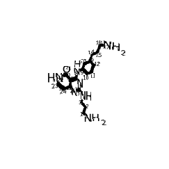 NCCCNc1nc(Nc2cccc(CCCN)c2)c2c(=O)[nH]ccc2n1